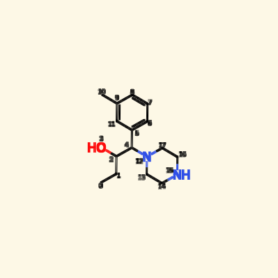 CCC(O)C(c1cccc(C)c1)N1CCNCC1